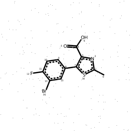 Cc1nc(C(=O)O)c(-c2ccc(F)c(Br)c2)s1